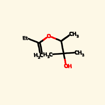 C=C(CC)OC(C)C(C)(C)O